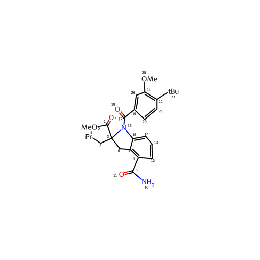 COC(=O)C1(CC(C)C)Cc2c(C(N)=O)cccc2N1C(=O)c1ccc(C(C)(C)C)c(OC)c1